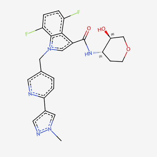 Cn1cc(-c2ccc(Cn3cc(C(=O)N[C@H]4CCOC[C@@H]4O)c4c(F)ccc(F)c43)cn2)cn1